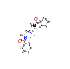 O=C(c1ccccc1)N1CCN(C2CN(C(=O)c3ccc(F)cc3)C2)CC1